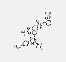 CNc1nc(N2CCN(C)CC2)nc(N2Cc3cc(C(=O)NCc4ccccc4OC(F)(F)F)ccc3C2OC(=O)C(F)(F)F)n1